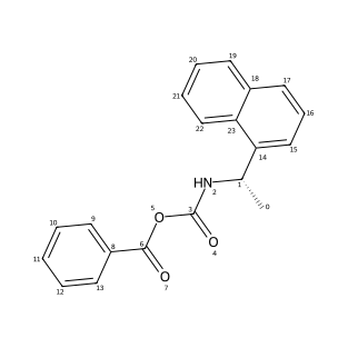 C[C@H](NC(=O)OC(=O)c1ccccc1)c1cccc2ccccc12